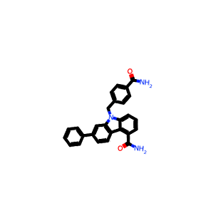 NC(=O)c1ccc(Cn2c3cc(-c4ccccc4)c[c]c3c3c(C(N)=O)cccc32)cc1